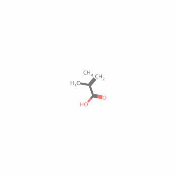 C.C=C(C)C(=O)O